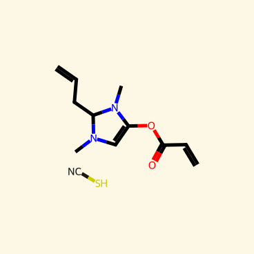 C=CCC1N(C)C=C(OC(=O)C=C)N1C.N#CS